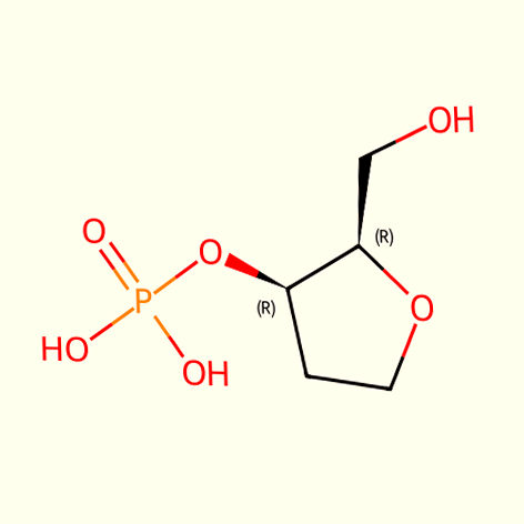 O=P(O)(O)O[C@@H]1CCO[C@@H]1CO